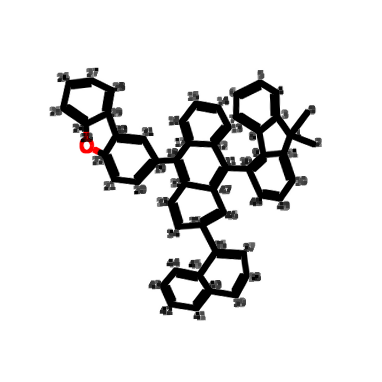 CC1(C)c2ccccc2-c2c(-c3c4ccccc4c(-c4ccc5oc6ccccc6c5c4)c4ccc(-c5cccc6ccccc56)cc34)cccc21